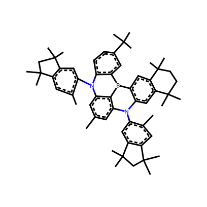 Cc1cc2c3c(c1)N(c1cc4c(cc1C)C(C)(C)CC4(C)C)c1cc4c(cc1B3c1cc(C(C)(C)C)ccc1N2c1cc2c(cc1C)C(C)(C)CC2(C)C)C(C)(C)CCC4(C)C